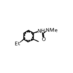 CCc1ccc(NC(=O)NC)c(C)c1